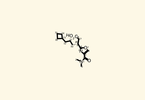 CN(C)C(=O)c1coc([C@H](CCCC2CCC2)CC(=O)O)n1